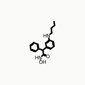 CCCCNc1cccc(C(C(=O)NO)c2ccccc2)c1